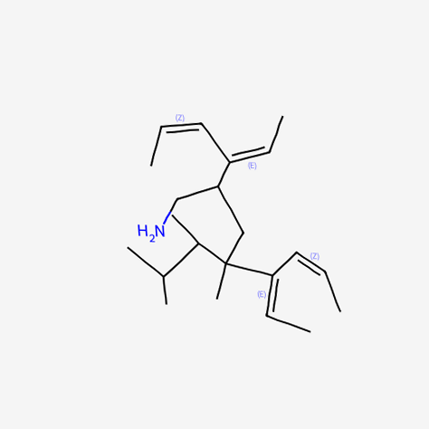 C/C=C\C(=C/C)C(CN)CC(C)(C(/C=C\C)=C/C)C(C)C(C)C